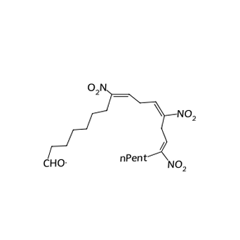 CCCCC/C(=C\C/C(=C\C/C=C(\CCCCCC[C]=O)[N+](=O)[O-])[N+](=O)[O-])[N+](=O)[O-]